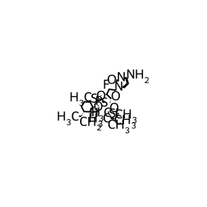 C=C(C)[C@@H]1CC[C@]2(C)S[P@@](=S)(O[C@H]3[C@@H](F)[C@H](n4ccc(N)nc4=O)O[C@@H]3CO[Si](C)(C)C(C)(C)C)O[C@H]2C1